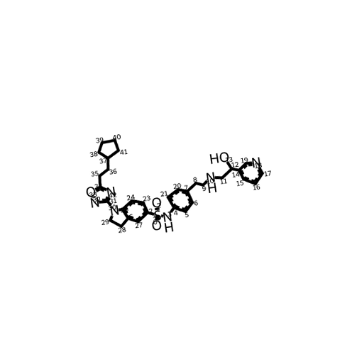 O=S(=O)(Nc1ccc(CCNCC(O)c2cccnc2)cc1)c1ccc2c(c1)CCN2c1noc(CCC2CCCC2)n1